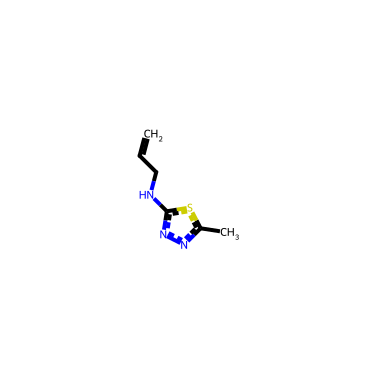 C=CCNc1nnc(C)s1